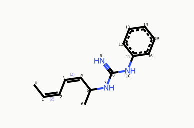 C/C=C\C=C/C(C)NC(=N)Nc1ccccc1